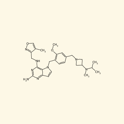 COc1cc(CN2CC(N(C)C(C)C)C2)ccc1Cn1ccc2nc(N)nc(NCc3nocc3C)c21